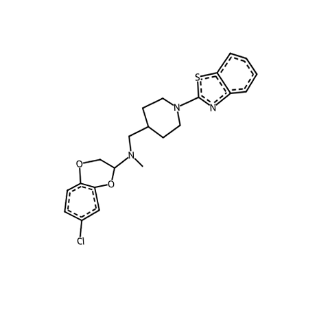 CN(CC1CCN(c2nc3ccccc3s2)CC1)C1COc2ccc(Cl)cc2O1